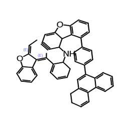 C/C=c1/oc2ccccc2/c1=C(/C)C1=CC=CCC1NC1C#CC=C2Oc3cccc(-c4ccc(-c5cc6c(c7ccccc57)C=CCC6)cc4)c3C21